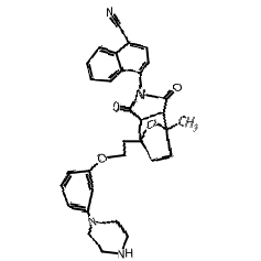 CC12CCC(CCOc3cccc(N4CCNCC4)c3)(O1)C1C(=O)N(c3ccc(C#N)c4ccccc34)C(=O)C12